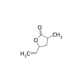 C=CC1CC(C)C(=O)O1